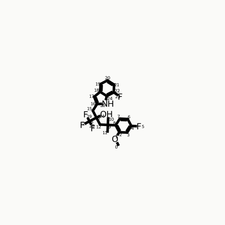 COc1cc(F)ccc1C(C)(C)CC(O)(Cc1cc2cccc(F)c2[nH]1)C(F)(F)F